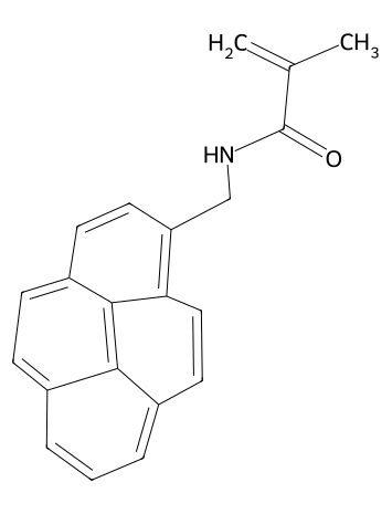 C=C(C)C(=O)NCc1ccc2ccc3cccc4ccc1c2c34